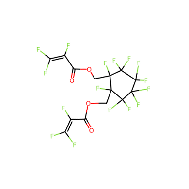 O=C(OCC1(F)C(F)(F)C(F)(F)C(F)(F)C(F)(F)C1(F)COC(=O)C(F)=C(F)F)C(F)=C(F)F